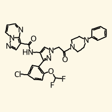 O=C(Nc1cn(CC(=O)N2CCN(c3ccccc3)CC2)nc1-c1cc(Cl)ccc1OC(F)F)c1cnn2cccnc12